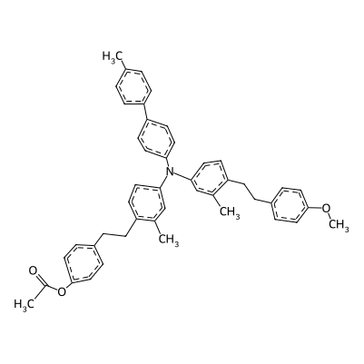 COc1ccc(CCc2ccc(N(c3ccc(-c4ccc(C)cc4)cc3)c3ccc(CCc4ccc(OC(C)=O)cc4)c(C)c3)cc2C)cc1